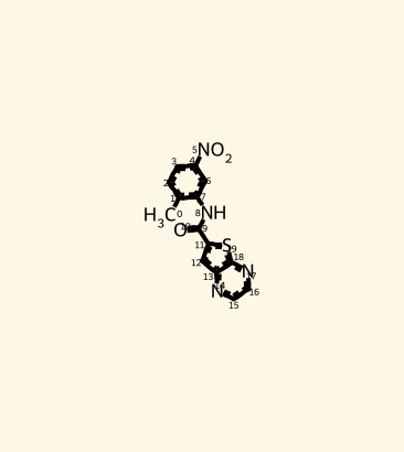 Cc1ccc([N+](=O)[O-])cc1NC(=O)c1cc2nccnc2s1